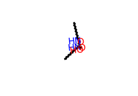 CCCCCCCCCCCCNC(=O)CC[C@H](NCCCCCCCCCCCC)C(=O)O